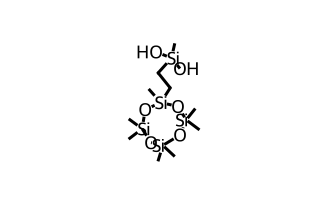 C[Si](O)(O)CC[Si]1(C)O[Si](C)(C)O[Si](C)(C)O[Si](C)(C)O1